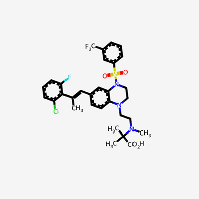 C/C(=C\c1ccc2c(c1)N(S(=O)(=O)c1cccc(C(F)(F)F)c1)CCN2CCN(C)C(C)(C)C(=O)O)c1c(F)cccc1Cl